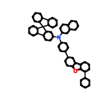 c1ccc(-c2cccc3c2oc2ccc(-c4ccc(N(c5ccc6c(c5)C5(c7ccccc7-c7ccccc75)c5ccccc5-6)c5ccc6ccccc6c5)cc4)cc23)cc1